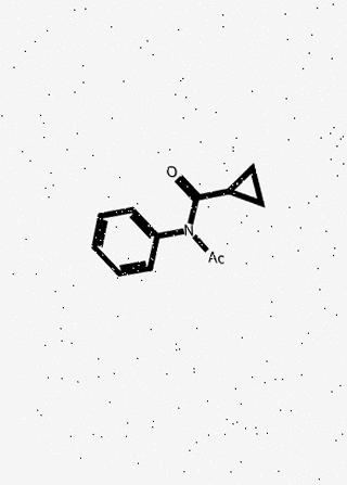 CC(=O)N(C(=O)C1CC1)c1ccccc1